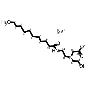 CCCCCCCCCCCC(=O)NCCN(CCO)CC(=O)[O-].[Na+]